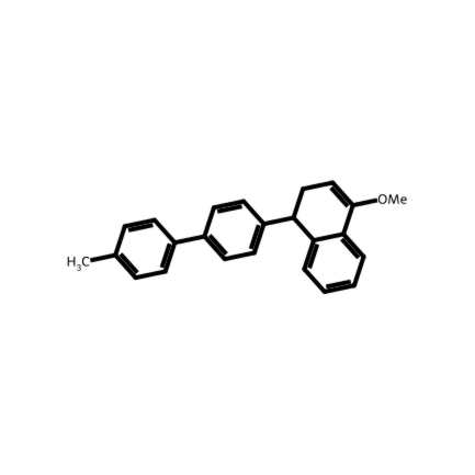 COC1=CCC(c2ccc(-c3ccc(C)cc3)cc2)c2ccccc21